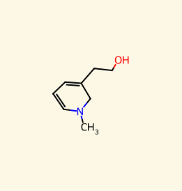 CN1C=CC=C(CCO)C1